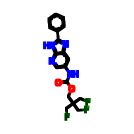 O=C(Nc1cnc2[nH]c(-c3ccccc3)nc2c1)OCC(CF)(CF)CF